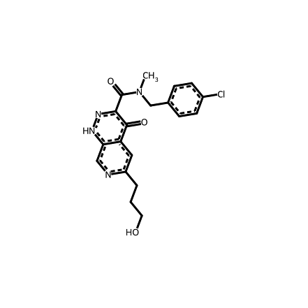 CN(Cc1ccc(Cl)cc1)C(=O)c1n[nH]c2cnc(CCCO)cc2c1=O